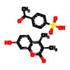 CC(=O)c1ccc(S(=O)(=O)O)cc1.Cc1c(C)c2ccc(O)cc2oc1=O